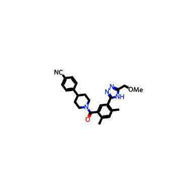 COCc1nnc(-c2cc(C(=O)N3CCC(c4ccc(C#N)cc4)CC3)c(C)cc2C)[nH]1